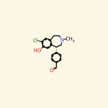 CN1CCc2cc(Cl)c(O)cc2[C@@H](c2ccc(C=O)cc2)C1